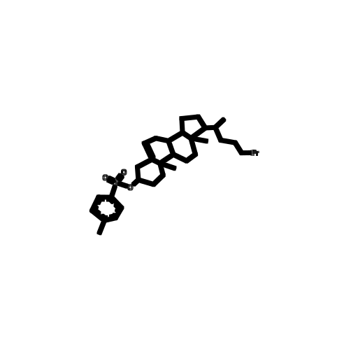 Cc1ccc(S(=O)(=O)OC2CCC3(C)C(=CCC4C3CCC3(C)C(C(C)CCCC(C)C)CCC43)C2)cc1